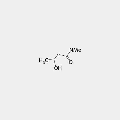 CNC(=O)[CH]C(C)O